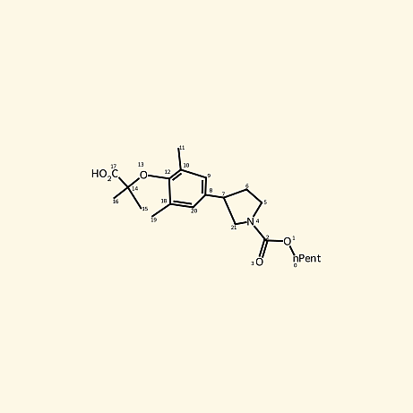 CCCCCOC(=O)N1CCC(c2cc(C)c(OC(C)(C)C(=O)O)c(C)c2)C1